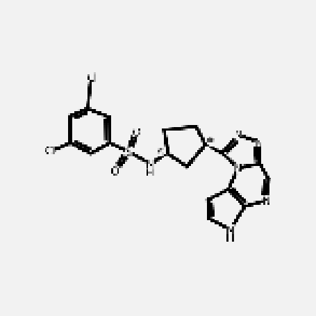 O=S(=O)(N[C@H]1CC[C@@H](c2nnc3cnc4[nH]ccc4n23)C1)c1cc(Cl)cc(Cl)c1